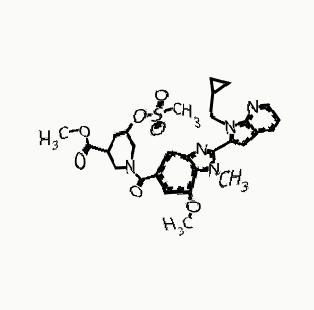 COC(=O)C1CC(OS(C)(=O)=O)CN(C(=O)c2cc(OC)c3c(c2)nc(-c2cc4cccnc4n2CC2CC2)n3C)C1